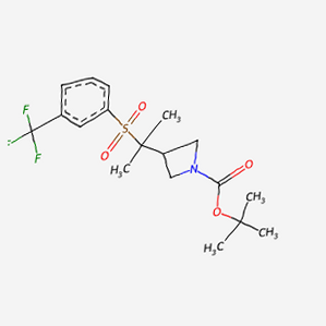 CC(C)(C)OC(=O)N1CC(C(C)(C)S(=O)(=O)c2cccc(C(F)(F)F)c2)C1